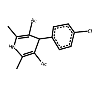 CC(=O)C1=C(C)NC(C)=C(C(C)=O)C1c1ccc(Cl)cc1